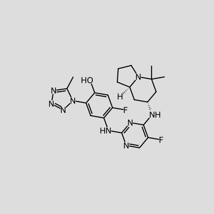 Cc1nnnn1-c1cc(Nc2ncc(F)c(N[C@@H]3C[C@H]4CCCN4C(C)(C)C3)n2)c(F)cc1O